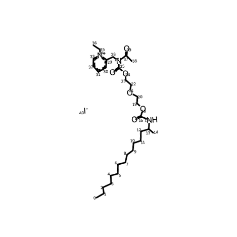 CCCCCCCCCCCCCC(C)NC(=O)OCCOCCOC(=O)N(Cc1cccc[n+]1CC)C(C)=O.[I-]